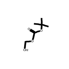 CC(C)(C)OC(=O)OCO